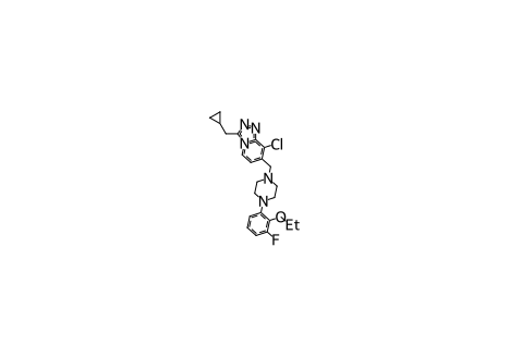 CCOc1c(F)cccc1N1CCN(Cc2ccn3c(CC4CC4)nnc3c2Cl)CC1